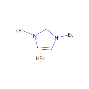 Br.CCCN1C=CN(CC)C1